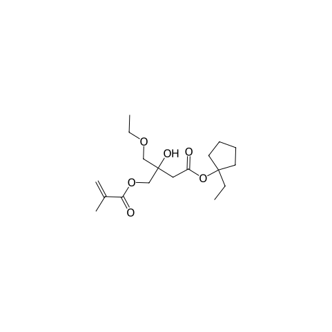 C=C(C)C(=O)OCC(O)(COCC)CC(=O)OC1(CC)CCCC1